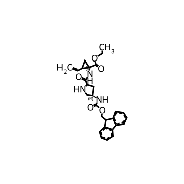 C=CC1C[C@]1(NC(=O)C1C[C@@H](NC(=O)OCC2c3ccccc3-c3ccccc32)CN1)C(=O)OCC